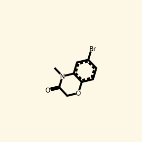 CN1C(=O)COc2ccc(Br)cc21